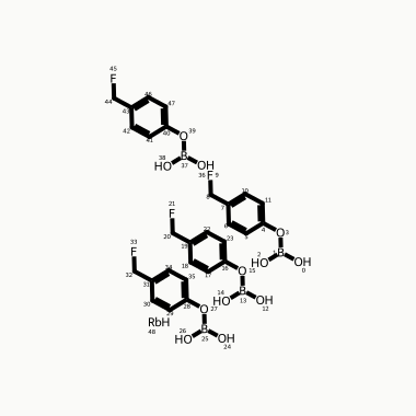 OB(O)Oc1ccc(CF)cc1.OB(O)Oc1ccc(CF)cc1.OB(O)Oc1ccc(CF)cc1.OB(O)Oc1ccc(CF)cc1.[RbH]